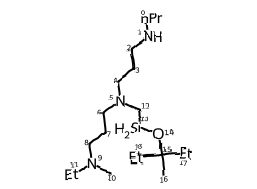 CCCNCCCN(CCCN(C)CC)C[SiH2]OC(C)(CC)CC